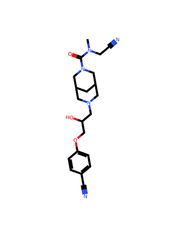 CN(CC#N)C(=O)N1CC2CC(CN(CC(O)COc3ccc(C#N)cc3)C2)C1